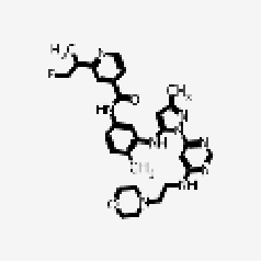 Cc1cc(Nc2cc(NC(=O)c3ccnc(C(C)CF)c3)ccc2C)n(-c2cc(NCCN3CCOCC3)ncn2)n1